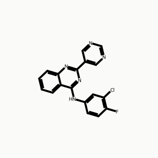 Fc1ccc(Nc2nc(-c3cncnc3)nc3ccccc23)cc1Cl